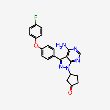 Nc1ncnc2c1c(-c1ccc(Oc3ccc(F)cc3)cc1)nn2C1CCC(=O)C1